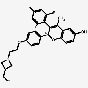 CC1=C(c2c(F)cc(F)cc2F)[C@H](c2ccc(OCCN3CC(CF)C3)cc2)Oc2ccc(O)cc21